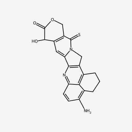 Nc1ccc2nc3c(c4c2c1CCC4)Cn1c-3cc2c(c1=S)COC(=O)C2O